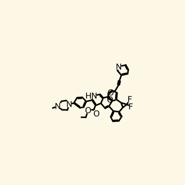 CCOC(=O)C1=C(c2ccc(N3CCN(C)CC3)cc2)NC=C(C(=O)OCC#Cc2cccnc2)C1C=C1c2ccccc2C2C(c3ccccc31)C2(F)F